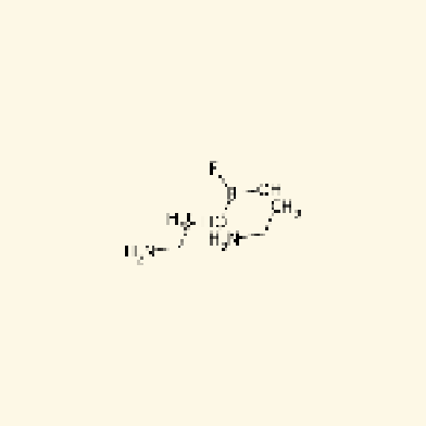 CCN.CCN.OB(O)F